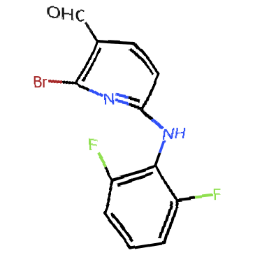 O=Cc1ccc(Nc2c(F)cccc2F)nc1Br